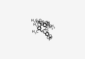 CC[C@@H]1CN(Cc2cc(C(c3ccc4c(nnn4C)c3C)C(C)(C)C(=O)OC)ccc2C)Cc2cc3c(cc2O1)OC(F)(F)O3